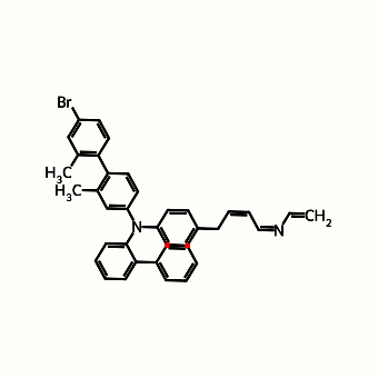 C=C/N=C\C=C/Cc1ccc(N(c2ccc(-c3ccc(Br)cc3C)c(C)c2)c2ccccc2-c2ccccc2)cc1